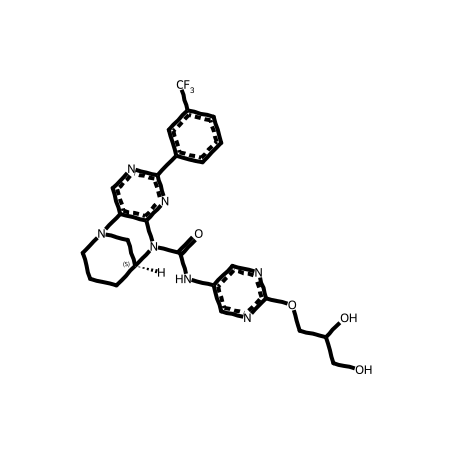 O=C(Nc1cnc(OCC(O)CO)nc1)N1c2nc(-c3cccc(C(F)(F)F)c3)ncc2N2CCC[C@H]1C2